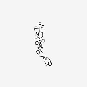 Cc1nc(C(F)(F)F)ccc1S(=O)(=O)N1CC2(CC(N3CCOCC3)CO2)C1